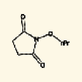 CCCON1C(=O)CCC1=O